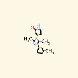 Cc1cccc(-c2nc(C)n(-c3cc[nH]c(=O)c3)c2C)c1